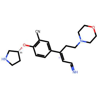 N#Cc1cc(/C(=C/C=N)CCN2CCOCC2)ccc1O[C@@H]1CCNC1